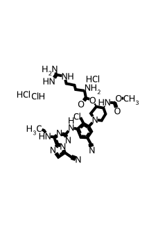 CCNc1nc(Nc2cc(C#N)cc(N3CC[C@@H](NC(=O)OC)[C@H](OC(=O)C(N)CCCNC(=N)N)C3)c2Cl)nn2c(C#N)cnc12.Cl.Cl.Cl